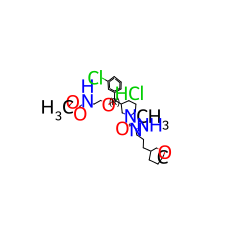 CNN(CCCC1CCCOC1)C(=O)N1CCCC([C@@H](OCCNC(=O)OC)c2cccc(Cl)c2)C1.Cl